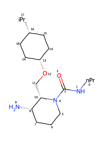 CCCNC(=O)N1CCC[C@H](N)[C@@H]1CO[C@H]1CC[C@@H](C(C)C)CC1